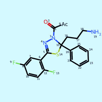 CC(=O)C(=O)N1N=C(c2cc(F)ccc2F)SC1(CCCN)c1ccccc1